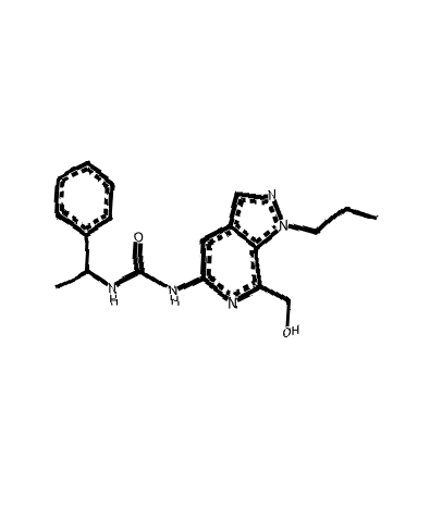 CCCn1ncc2cc(NC(=O)NC(C)c3ccccc3)nc(CO)c21